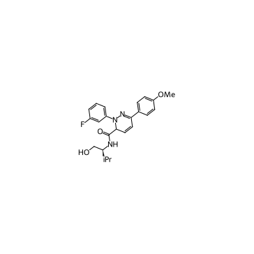 COc1ccc(C2=NN(c3cccc(F)c3)C(C(=O)N[C@H](CO)C(C)C)C=C2)cc1